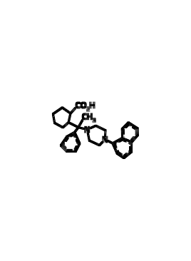 CC(c1ccccc1)(C1CCCCC1C(=O)O)N1CCN(c2cccc3ccccc23)CC1